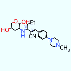 CC/C=C(NC1CC(O)COC1O)\C(C#N)=C\c1ccc(N2CCN(C)CC2)cc1